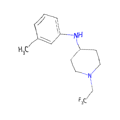 Cc1cccc(NC2CCN(CC(F)(F)F)CC2)c1